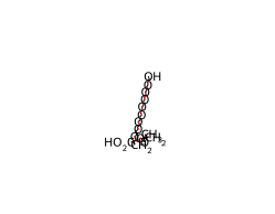 C=C(C)C(=O)OCC(OCCOCCOCCOCCOCCOCCOCCOCCO)C(=C)C(=O)O